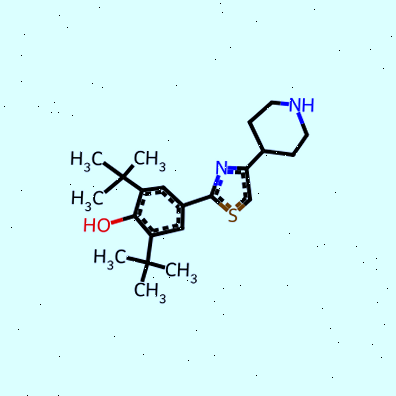 CC(C)(C)c1cc(-c2nc(C3CCNCC3)cs2)cc(C(C)(C)C)c1O